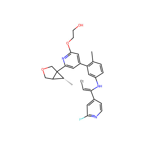 CC/C=C(\Nc1ccc(C)c(-c2cc(OCCO)nc(C34COCC3[C@H]4C)c2)c1)c1ccnc(F)c1